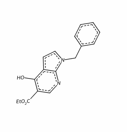 CCOC(=O)c1cnc2c(ccn2Cc2ccccc2)c1O